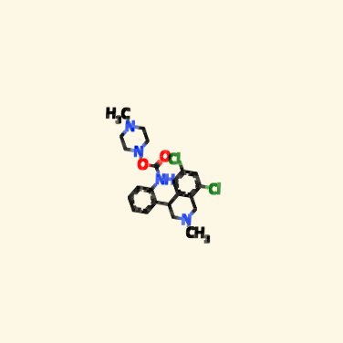 CN1CCN(OC(=O)Nc2ccccc2C2CN(C)Cc3c(Cl)cc(Cl)cc32)CC1